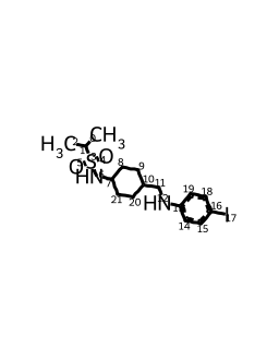 CC(C)S(=O)(=O)NC1CCC(CNc2ccc(I)cc2)CC1